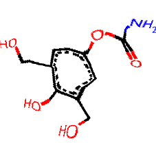 NC(=O)Oc1cc(CO)c(O)c(CO)c1